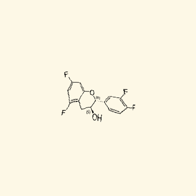 O[C@H]1Cc2c(F)cc(F)cc2O[C@@H]1c1ccc(F)c(F)c1